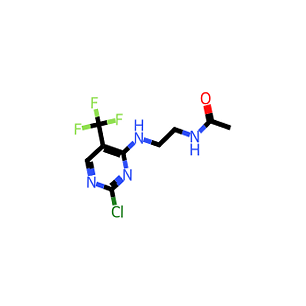 CC(=O)NCCNc1nc(Cl)ncc1C(F)(F)F